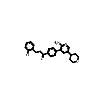 Nc1ncc(C2CCOCC2)cc1-c1ccc(C(=O)CCc2ccccc2Cl)cc1